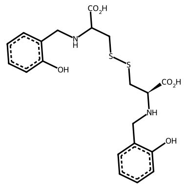 O=C(O)C(CSSC[C@H](NCc1ccccc1O)C(=O)O)NCc1ccccc1O